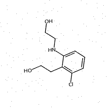 OC[CH]Nc1cccc(Cl)c1CCO